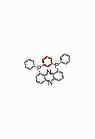 c1ccc(P(c2ccccc2)c2cccc3nc4cccc(P(c5ccccc5)c5ccccc5)c4nc23)cc1